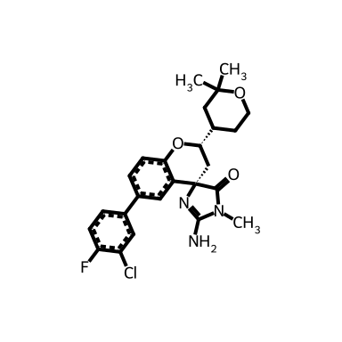 CN1C(=O)[C@@]2(C[C@@H](C3CCOC(C)(C)C3)Oc3ccc(-c4ccc(F)c(Cl)c4)cc32)N=C1N